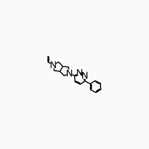 C=CN1CC2CN(c3ccc(-c4ccccc4)nn3)CC2C1